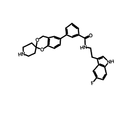 O=C(NCCc1c[nH]c2ccc(F)cc12)c1cccc(-c2ccc3c(c2)COC2(CCNCC2)O3)c1